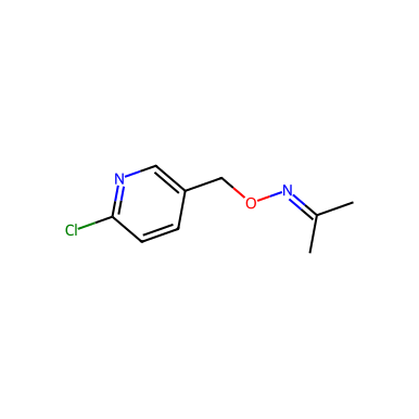 CC(C)=NOCc1ccc(Cl)nc1